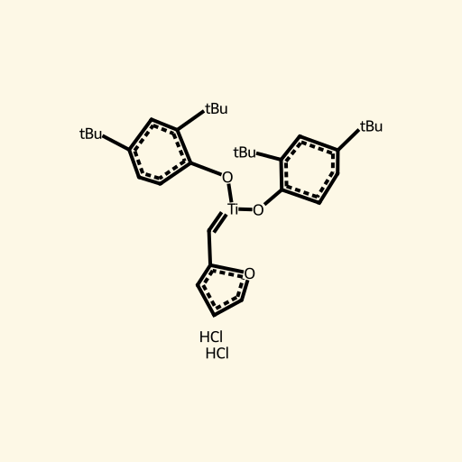 CC(C)(C)c1ccc([O][Ti](=[CH]c2ccco2)[O]c2ccc(C(C)(C)C)cc2C(C)(C)C)c(C(C)(C)C)c1.Cl.Cl